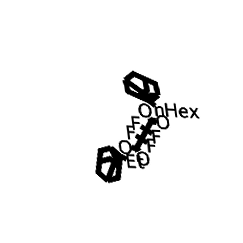 CCCCCCC1(OC(=O)C(F)(F)C(F)(F)C(=O)OC2(CC)C3CC4CC(C3)CC2C4)C2CC3CC(C2)CC1C3